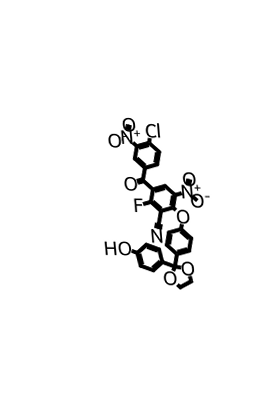 N#Cc1c(F)c(C(=O)c2ccc(Cl)c([N+](=O)[O-])c2)cc([N+](=O)[O-])c1Oc1ccc(C2(c3ccc(O)cc3)OCCO2)cc1